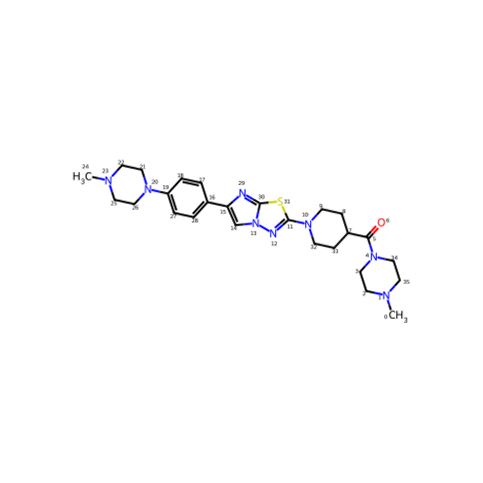 CN1CCN(C(=O)C2CCN(c3nn4cc(-c5ccc(N6CCN(C)CC6)cc5)nc4s3)CC2)CC1